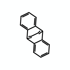 c1ccc2c(c1)c1ccc2c2ccccc21